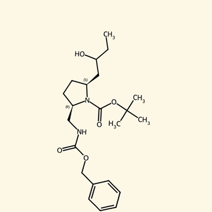 CCC(O)C[C@@H]1CC[C@H](CNC(=O)OCc2ccccc2)N1C(=O)OC(C)(C)C